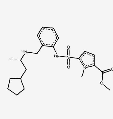 COC(=O)c1ccc(S(=O)(=O)Nc2ccccc2CN[C@@H](C)CC2CCCC2)n1C